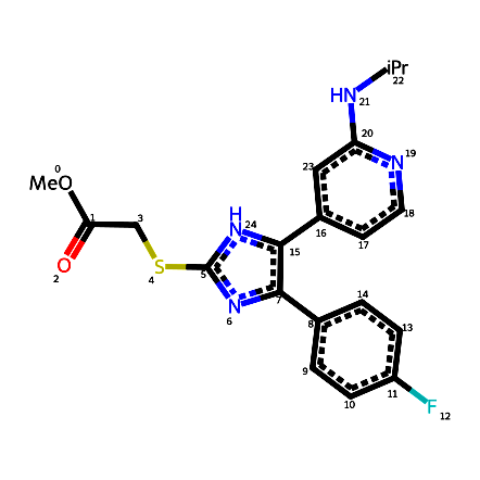 COC(=O)CSc1nc(-c2ccc(F)cc2)c(-c2ccnc(NC(C)C)c2)[nH]1